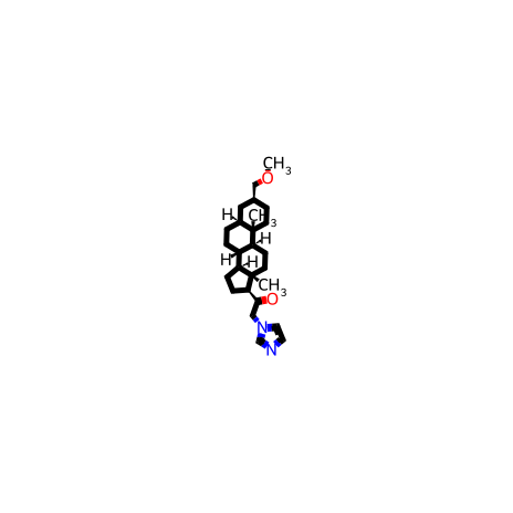 COC[C@H]1CC[C@@]2(C)[C@@H](CC[C@@H]3[C@@H]2CC[C@]2(C)[C@@H](C(=O)Cn4ccnc4)CC[C@@H]32)C1